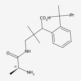 CC(C)C(C)(C)c1ccccc1C(C(=O)O)C(C)(C)CNC(=O)[C@H](C)N